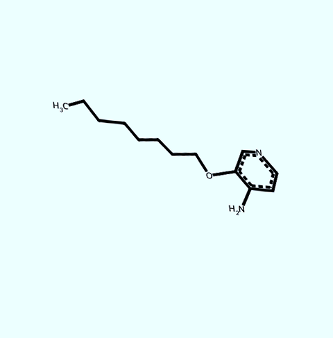 CCCCCCCCOc1cnccc1N